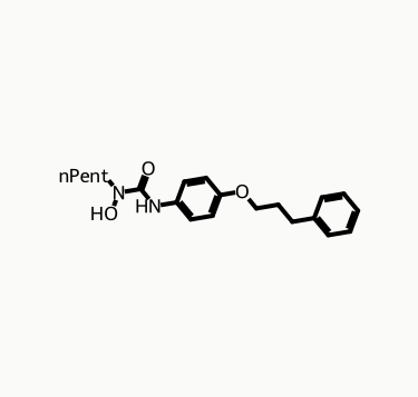 CCCCCN(O)C(=O)Nc1ccc(OCCCc2ccccc2)cc1